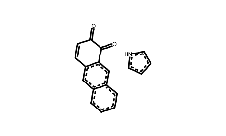 O=C1C=Cc2cc3ccccc3cc2C1=O.c1cc[nH]c1